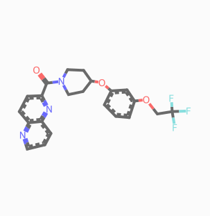 O=C(c1ccc2ncccc2n1)N1CCC(Oc2cccc(OCC(F)(F)F)c2)CC1